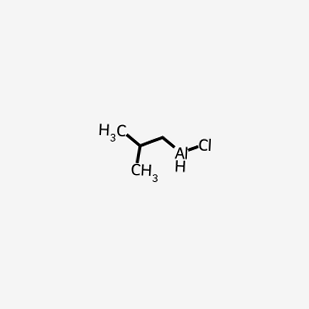 CC(C)[CH2][AlH][Cl]